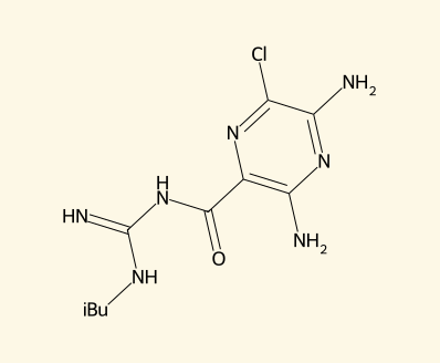 CCC(C)NC(=N)NC(=O)c1nc(Cl)c(N)nc1N